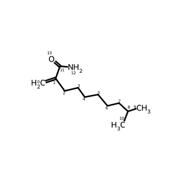 C=C(CCCCCCC(C)C)C(N)=O